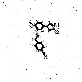 COc1ccc(C2CNC(=O)C2)cc1OCCc1ccc(C#N)cc1